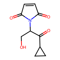 O=C(C1CC1)C(CO)N1C(=O)C=CC1=O